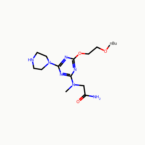 CCCCOCCOc1nc(N(C)CC(N)=O)nc(N2CCNCC2)n1